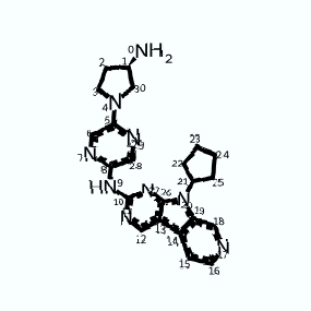 N[C@@H]1CCN(c2cnc(Nc3ncc4c5ccncc5n(C5CCCC5)c4n3)cn2)C1